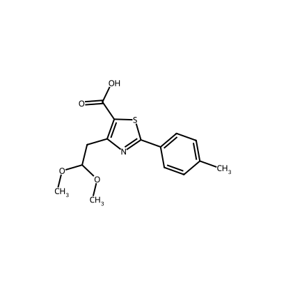 COC(Cc1nc(-c2ccc(C)cc2)sc1C(=O)O)OC